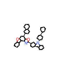 c1ccc(-c2ccc(-n3c4ccccc4c4ccc(-c5nc6c(o5)c(-c5ccc7ccccc7c5)cc5oc7ccccc7c56)cc43)cc2)cc1